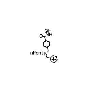 CCCCCN(Cc1ccc(C(=O)NO)cc1)CC1CCC2CC1C2(C)C